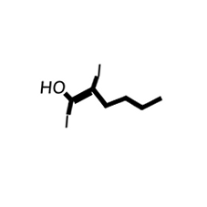 CCCCC(I)=C(O)I